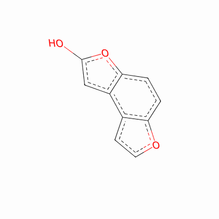 Oc1cc2c(ccc3occc32)o1